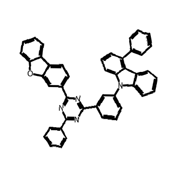 c1ccc(-c2nc(-c3cccc(-n4c5ccccc5c5c(-c6ccccc6)cccc54)c3)nc(-c3ccc4c(c3)oc3ccccc34)n2)cc1